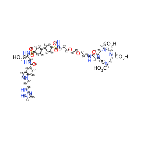 O=C(O)CN1CCN(CC(=O)O)CCN(CC(=O)NCCCOCCOCCCNS(=O)(=O)c2ccc(-c3ccc(S(=O)(=O)NC(CNC(=O)c4ccc5c(cnn5CCCNc5ncc[nH]5)c4)C(=O)O)cc3)cc2)CCN(CC(=O)O)CC1